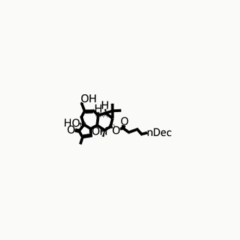 CCCCCCCCCCCCCC(=O)O[C@H]1C2[C@H]([C@@H]3C=C(CO)C[C@]4(O)C(=O)C(C)=CC4C3(O)[C@@H]1C)C2(C)C